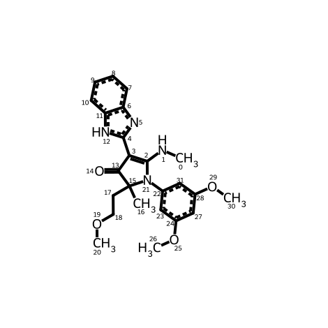 CNC1=C(c2nc3ccccc3[nH]2)C(=O)C(C)(CCOC)N1c1cc(OC)cc(OC)c1